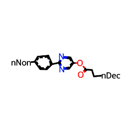 CCCCCCCCCCCCC(=O)Oc1cnc(-c2ccc(CCCCCCCCC)cc2)nc1